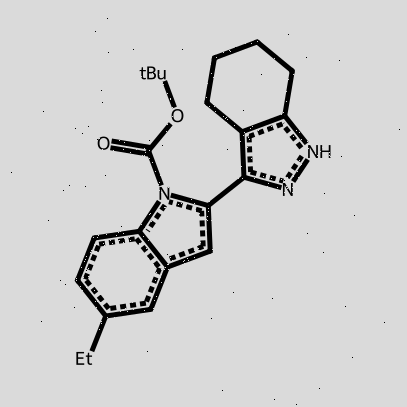 CCc1ccc2c(c1)cc(-c1n[nH]c3c1CCCC3)n2C(=O)OC(C)(C)C